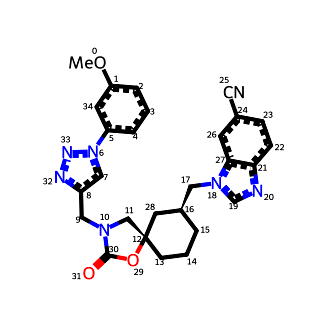 COc1cccc(-n2cc(CN3C[C@@]4(CCC[C@H](Cn5cnc6ccc(C#N)cc65)C4)OC3=O)nn2)c1